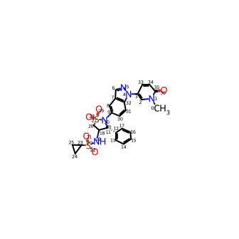 Cn1cc(-n2ncc3cc(N4[C@H](c5ccccc5)C(NS(=O)(=O)C5CC5)CS4(=O)=O)ccc32)ccc1=O